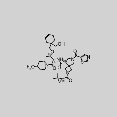 C[C@@H](OCC1(CO)CC=CCC1)[C@H](NC(=O)[C@@H]1CN(C(=O)c2cncs2)CC12CN(C(=O)[C@H]1CC1(C)C)C2)C(=O)N1CCC(C(F)(F)F)CC1